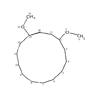 COC1CCCCCCCCCCC(OC)CC1